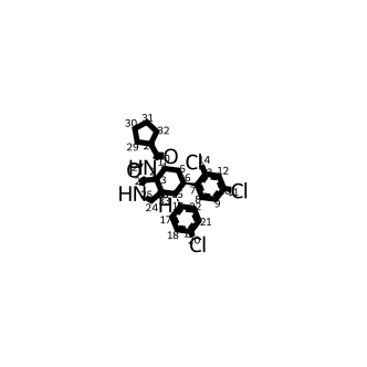 O=C(N[C@@]12CC[C@@H](c3ccc(Cl)cc3Cl)[C@H](c3ccc(Cl)cc3)[C@@H]1CNC2=O)C1CCCC1